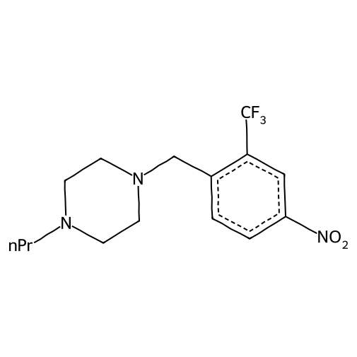 CCCN1CCN(Cc2ccc([N+](=O)[O-])cc2C(F)(F)F)CC1